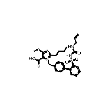 C=CCNC(=O)NS(=O)(=O)c1ccccc1-c1ccc(Cn2c(CCCC)nc(SC)c2C(=O)O)cc1